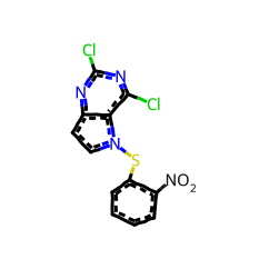 O=[N+]([O-])c1ccccc1Sn1ccc2nc(Cl)nc(Cl)c21